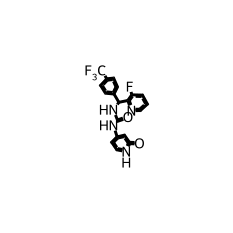 O=C(Nc1cc[nH]c(=O)c1)NC(c1ccc(C(F)(F)F)cc1)c1ncccc1F